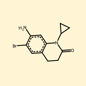 Nc1cc2c(cc1Br)CCC(=O)N2C1CC1